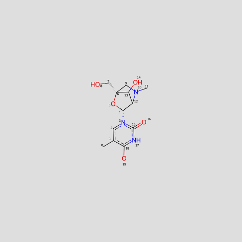 Cc1cn([C@@H]2O[C@@]3(CO)CN(C)C2C3O)c(=O)[nH]c1=O